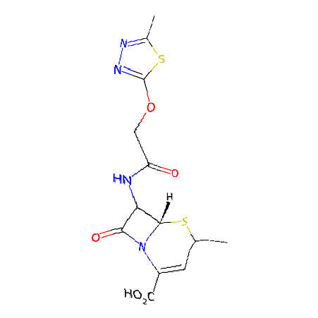 Cc1nnc(OCC(=O)NC2C(=O)N3C(C(=O)O)=CC(C)S[C@@H]23)s1